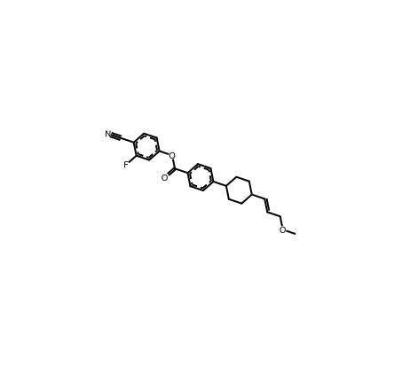 COCC=CC1CCC(c2ccc(C(=O)Oc3ccc(C#N)c(F)c3)cc2)CC1